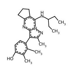 CCC(CC)Nc1c2c(nc3c(-c4ccc(O)c(C)c4C)c(C)nn13)CCC2